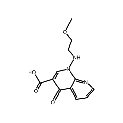 COCCNn1cc(C(=O)O)c(=O)c2cccnc21